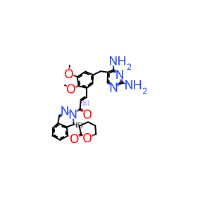 COc1cc(Cc2cnc(N)nc2N)cc(/C=C/C(=O)N2N=Cc3ccccc3C2[C@@H]2CCCOC2=O)c1OC